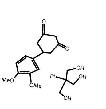 CCC(CO)(CO)CO.COc1ccc(C2CC(=O)CC(=O)C2)cc1OC